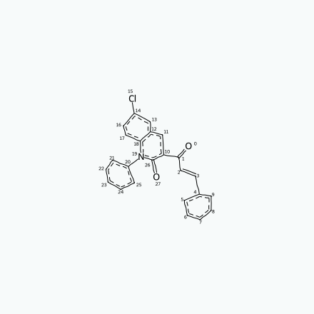 O=C(C=Cc1ccccc1)c1cc2cc(Cl)ccc2n(-c2ccccc2)c1=O